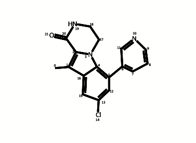 Cc1c2n(c3c(-c4cccnc4)cc(Cl)cc13)CCNC2=O